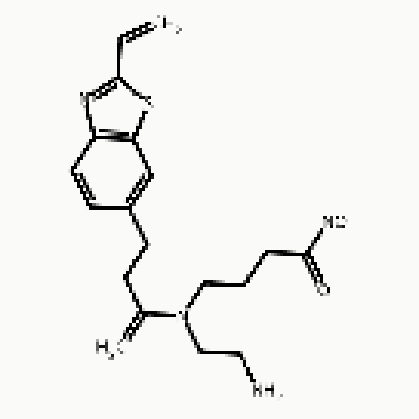 C=Cc1nc2ccc(CCC(=C)N(CCN)CCCC(=O)N=O)cc2s1